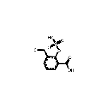 O=C(O)c1cccc(CCl)c1OS(=O)(=O)O